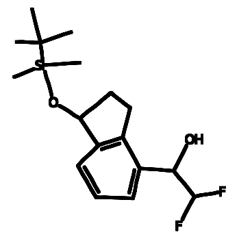 CC(C)(C)[Si](C)(C)OC1CCc2c1cccc2C(O)C(F)F